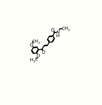 CCNC(=O)c1ccc(C=CC(=O)c2cc(OC)ccc2OC)cc1